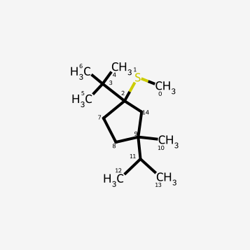 CSC1(C(C)(C)C)CCC(C)(C(C)C)C1